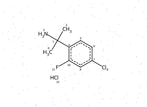 CC(C)(N)c1ccc(Cl)cc1F.Cl